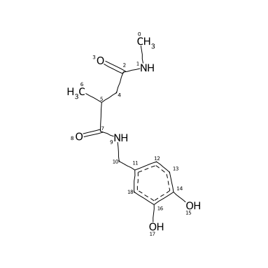 CNC(=O)CC(C)C(=O)NCc1ccc(O)c(O)c1